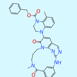 Cc1cccc2c1N(C(=O)OCc1ccccc1)CCN2c1cc2cnc3nc2n(c1=O)CCCN(C)C(=O)c1cccc(c1)N3